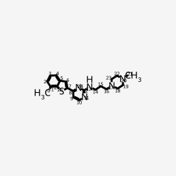 Cc1cccc2cc(-c3ccnc(NCCCN4CCN(C)CC4)n3)sc12